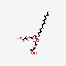 CCCCCCCCCCCCN(OCCOCCO)OCCOCCO